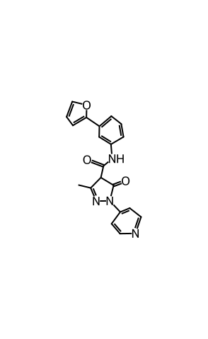 CC1=NN(c2ccncc2)C(=O)C1C(=O)Nc1cccc(-c2ccco2)c1